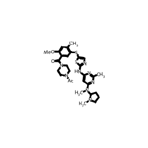 COc1cc(C)c(Sc2cnc(Nc3cc(N(C)C4CCCN4C)nc(C)n3)s2)cc1C(=O)N1CCN(C(C)=O)CC1